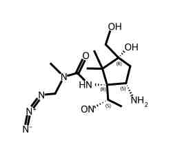 C[C@H](N=O)[C@]1(NC(=O)N(C)CN=[N+]=[N-])[C@@H](N)C[C@](O)(CO)C1(C)C